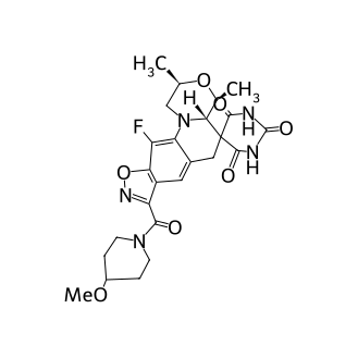 COC1CCN(C(=O)c2noc3c(F)c4c(cc23)CC2(C(=O)NC(=O)NC2=O)[C@H]2[C@H](C)O[C@H](C)CN42)CC1